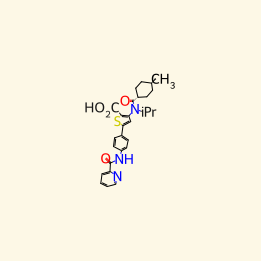 CC(C)N(c1cc(-c2ccc(NC(=O)c3ccccn3)cc2)sc1C(=O)O)C(=O)[C@H]1CC[C@H](C)CC1